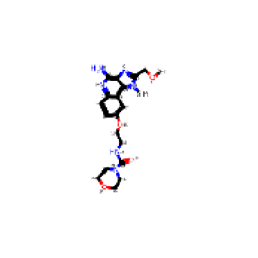 CCCn1c(COCC)nc2c(N)nc3ccc(OCCNC(=O)N4CCOCC4)cc3c21